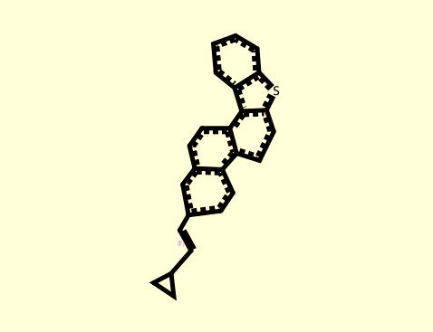 C(=C\C1CC1)/c1ccc2c(ccc3c2ccc2sc4ccccc4c23)c1